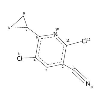 N#Cc1cc(Cl)c(C2CC2)nc1Cl